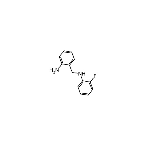 Nc1ccccc1CNc1ccccc1F